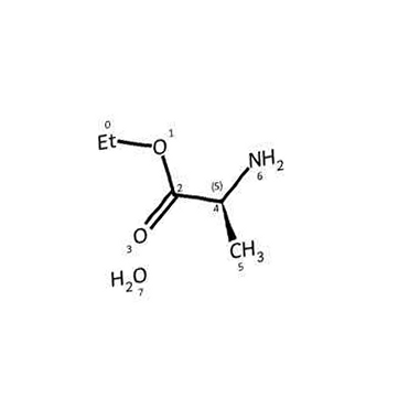 CCOC(=O)[C@H](C)N.O